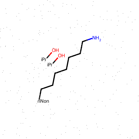 CC(C)O.CC(C)O.CCCCCCCCCCCCCCCCN